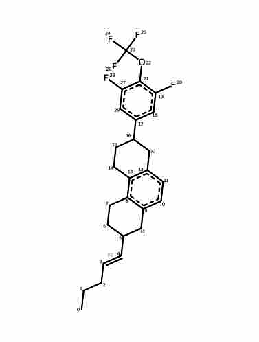 CCC/C=C/C1CCc2c(ccc3c2CCC(c2cc(F)c(OC(F)(F)F)c(F)c2)C3)C1